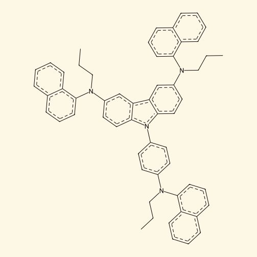 CCCN(c1ccc(-n2c3ccc(N(CCC)c4cccc5ccccc45)cc3c3cc(N(CCC)c4cccc5ccccc45)ccc32)cc1)c1cccc2ccccc12